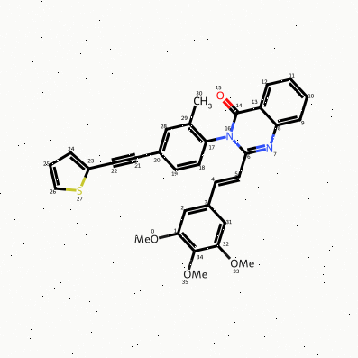 COc1cc(/C=C/c2nc3ccccc3c(=O)n2-c2ccc(C#Cc3cccs3)cc2C)cc(OC)c1OC